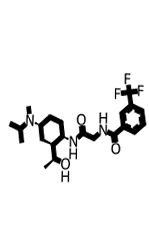 CC(C)N(C)[C@@H]1CC[C@H](NC(=O)CNC(=O)c2cccc(C(F)(F)F)c2)[C@@H]([C@H](C)O)C1